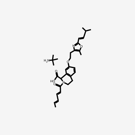 CC(C)(C)N.CC=CC=CC(=O)N1CCc2ccc(OCCc3nc(/C=C/C(C)C)oc3C)cc2C1C(=O)O